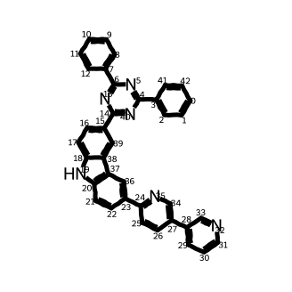 c1ccc(-c2nc(-c3ccccc3)nc(-c3ccc4[nH]c5ccc(-c6ccc(-c7cccnc7)cn6)cc5c4c3)n2)cc1